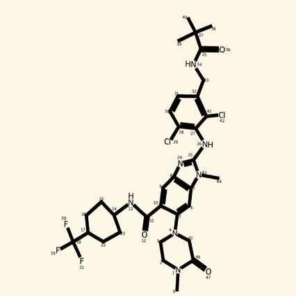 CN1CCN(c2cc3c(cc2C(=O)NC2CCC(C(F)(F)F)CC2)nc(Nc2c(Cl)ccc(CNC(=O)C(C)(C)C)c2Cl)n3C)CC1=O